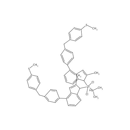 CSc1ccc(Cc2ccc(-c3cccc4c3C=C(C)[CH]4[Zr]([Cl])([Cl])([CH]3C(C)=Cc4c(-c5ccc(Cc6ccc(SC)cc6)cc5)cccc43)[SiH](C)C)cc2)cc1